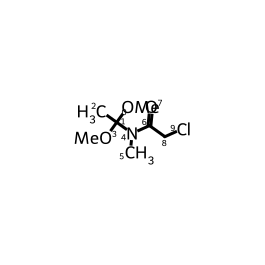 COC(C)(OC)N(C)C(=O)CCl